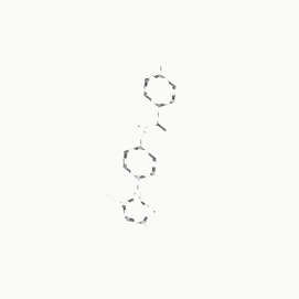 Cc1cc(C(F)(F)F)nn1-c1ccc(NC(=O)c2ccc(Cl)cc2)cc1